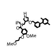 COCCCOc1cc(C(=O)N(CC2CNCC2OCc2cccc(-c3cc(C)ccc3C)c2)C(C)C)ccc1OC